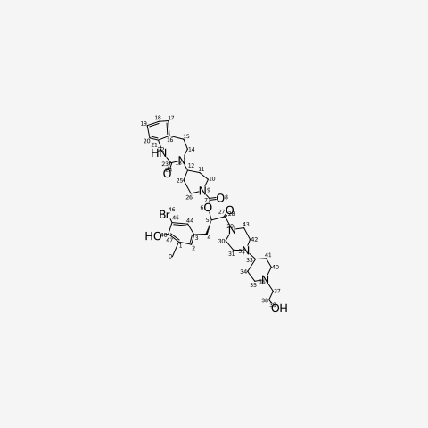 Cc1cc(C[C@@H](OC(=O)N2CCC(N3CCc4ccccc4NC3=O)CC2)C(=O)N2CCN(C3CCN(CCO)CC3)CC2)cc(Br)c1O